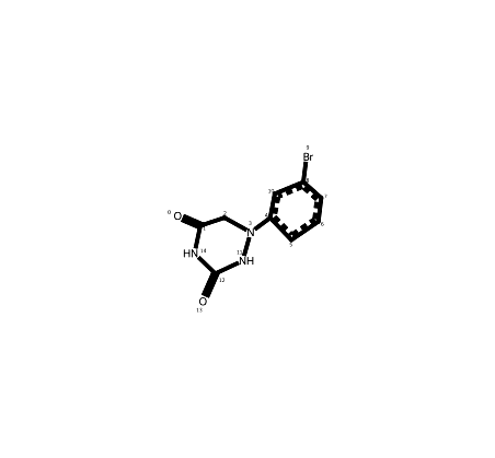 O=C1CN(c2cccc(Br)c2)NC(=O)N1